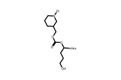 CCCCCCC(CCCO)OC(=O)OCC1CCCN(CC)C1